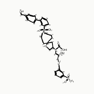 CS(=O)(=O)c1cccc(OC[C@@H](O)CN(C(=O)O)C2COC3(CCN(S(=O)(=O)c4cccc(-c5ccc(CO)cc5)c4)CC3)C2)c1